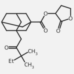 CCC(C)(C)C(=O)CC12CC3CC(C1)CC(C(=O)OC1CCOC1=O)(C3)C2